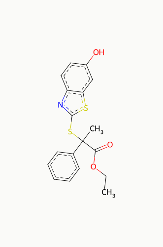 CCOC(=O)C(C)(Sc1nc2ccc(O)cc2s1)c1ccccc1